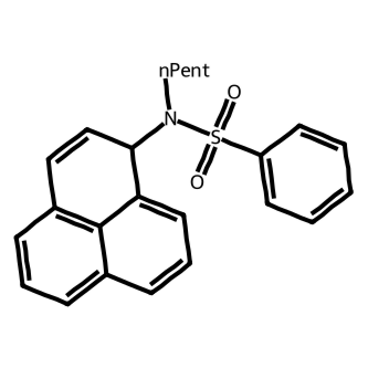 CCCCCN(C1C=Cc2cccc3cccc1c23)S(=O)(=O)c1ccccc1